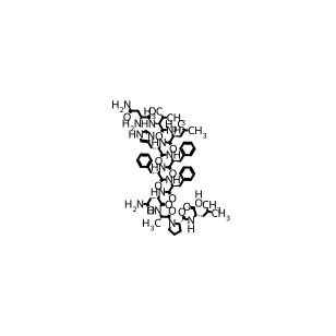 CC(C)C[C@H](NC(=O)[C@@H]1CCCN1C(=O)[C@H](C)NC(=O)[C@H](CC(N)=O)NC(=O)[C@H](Cc1ccccc1)NC(=O)[C@H](Cc1ccccc1)NC(=O)[C@H](Cc1ccccc1)NC(=O)[C@H](Cc1c[nH]cn1)NC(=O)[C@H](CC(C)C)NC(=O)[C@@H](NC(=O)[C@@H](N)CC(N)=O)C(C)C)C(=O)O